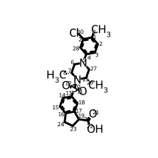 Cc1ccc(N2C[C@@H](C)N(S(=O)(=O)c3ccc4c(c3)C(C(=O)O)CC4)[C@@H](C)C2)cc1Cl